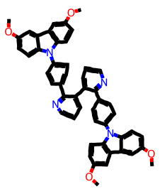 COc1ccc2c(c1)c1cc(OC)ccc1n2-c1ccc(-c2ncccc2-c2cccnc2-c2ccc(-n3c4ccc(OC)cc4c4cc(OC)ccc43)cc2)cc1